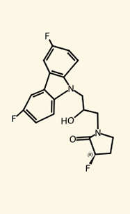 O=C1[C@H](F)CCN1CC(O)Cn1c2ccc(F)cc2c2cc(F)ccc21